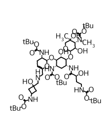 CN(C(=O)OC(C)(C)C)[C@@H]1[C@@H](O)[C@@H](O[C@@H]2[C@@H](O)[C@H](O[C@H]3OC(CNCC4(O)CC(NC(=O)OC(C)(C)C)C4)=CC[C@H]3NC(=O)OC(C)(C)C)[C@@H](NC(=O)OC(C)(C)C)C[C@H]2NC(=O)[C@@H](O)CCNC(=O)OC(C)(C)C)OC[C@]1(C)O